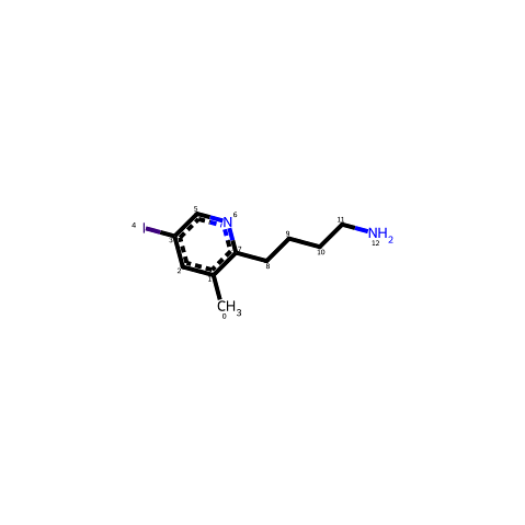 Cc1cc(I)cnc1CCCCN